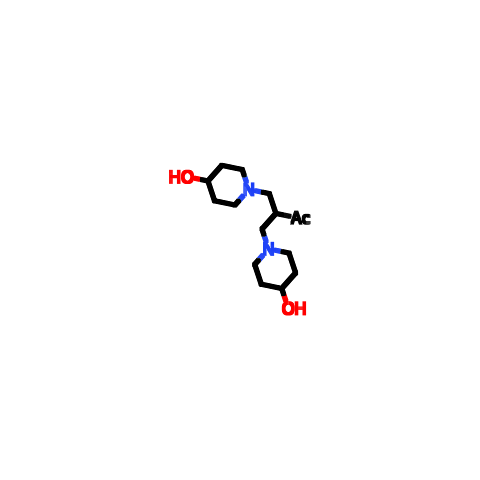 CC(=O)C(CN1CCC(O)CC1)CN1CCC(O)CC1